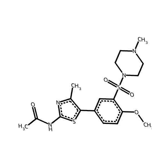 COc1ccc(-c2sc(NC(C)=O)nc2C)cc1S(=O)(=O)N1CCN(C)CC1